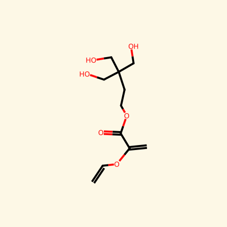 C=COC(=C)C(=O)OCCC(CO)(CO)CO